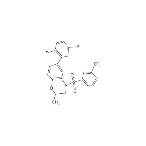 CC1CN(S(=O)(=O)c2cccc(C(F)(F)F)c2)c2cc(-c3cc(F)ccc3F)ccc2O1